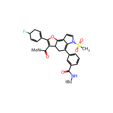 CNC(=O)C1=C(C2=CCC(F)C=C2)OC2=c3ccn(S(C)(=O)=O)c3=C(c3cccc(C(=O)NC(C)(C)C)c3)CC12